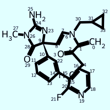 C=C(C(=O)CC)N(/C=C/[C@@]1(c2cccc(-c3cccnc3F)c2)N=C(N)N(C)C1=O)CC1CC1